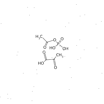 CC(=O)C(=O)O.CC(=O)OP(=O)(O)O